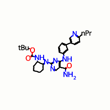 CCCc1ccc(-c2cccc(Nc3nc(/N=C4\CCCC[C@@H]4NC(=O)OC(C)(C)C)ncc3C(N)=O)c2)cn1